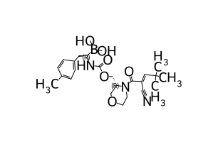 Cc1ccc(C[C@H](NC(=O)OC[C@H]2COCCN2C(=O)C(C#N)=CC(C)(C)C)B(O)O)cc1